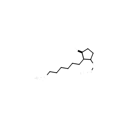 CCCCCCSC1CCC(=O)C1CCCCCCC(=O)O